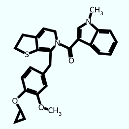 COc1cc(CC2=C3SCCC3=CCN2C(=O)c2cn(C)c3ccccc23)ccc1OC1CC1